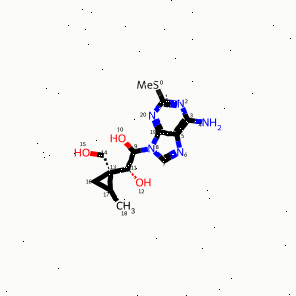 CSc1nc(N)c2ncn(C(O)[C@H](O)[C@]3(CO)CC3C)c2n1